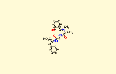 C[C@@H](C(=O)NCC(=O)N[C@@H](Cc1ccccc1)C(=O)O)N(C)Cc1ccccc1O